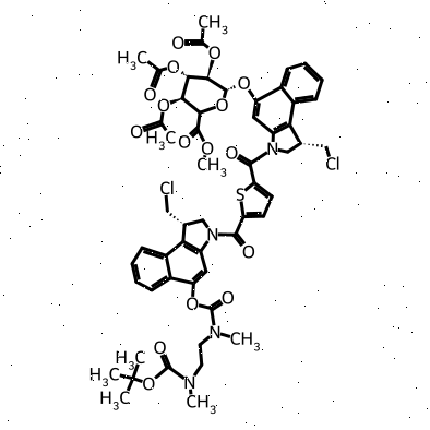 COC(=O)C1O[C@@H](Oc2cc3c(c4ccccc24)[C@H](CCl)CN3C(=O)c2ccc(C(=O)N3C[C@@H](CCl)c4c3cc(OC(=O)N(C)CCN(C)C(=O)OC(C)(C)C)c3ccccc43)s2)[C@H](OC(C)=O)[C@@H](OC(C)=O)[C@@H]1OC(C)=O